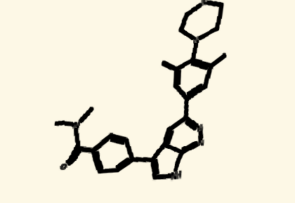 Cc1cc(-c2cc3c(-c4ccc(C(=O)N(C)C)cc4)c[nH]c3nn2)cc(C)c1N1CCN(C)CC1